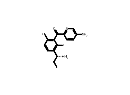 CC[C@@H](N)c1ccc(Cl)c(C(=O)c2ccc(N)cn2)c1F